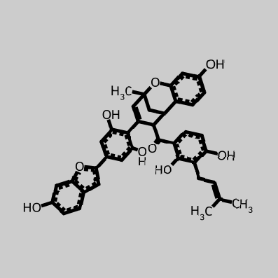 CC(C)=CCc1c(O)ccc(C(=O)C2C(c3c(O)cc(-c4cc5ccc(O)cc5o4)cc3O)=CC3(C)CC2c2ccc(O)cc2O3)c1O